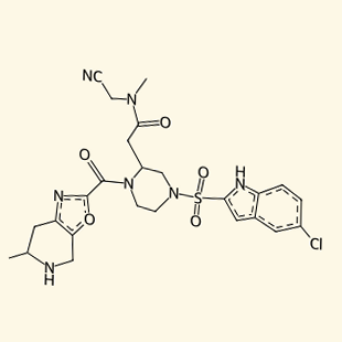 CC1Cc2nc(C(=O)N3CCN(S(=O)(=O)c4cc5cc(Cl)ccc5[nH]4)CC3CC(=O)N(C)CC#N)oc2CN1